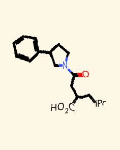 CC(C)CC(CC(=O)N1CCC(c2ccccc2)C1)C(=O)O